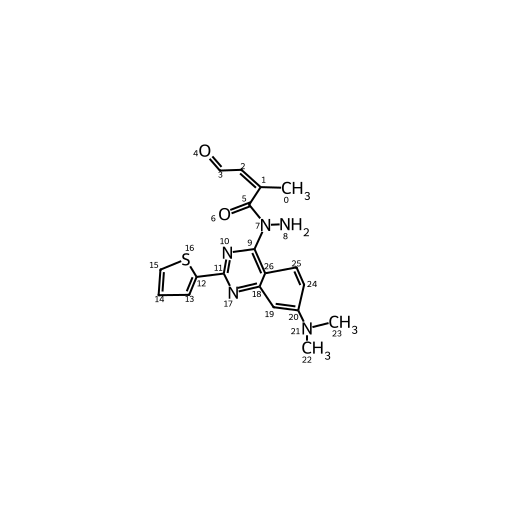 C/C(=C/C=O)C(=O)N(N)c1nc(-c2cccs2)nc2cc(N(C)C)ccc12